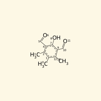 Cc1c(C)c(C=O)c(O)c(C=O)c1C